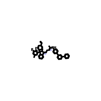 C=CC1=CC[C@@](C)(C2(c3cc(C)cc(F)c3F)c3ccccc3/C(=C/C/C=C(\C)Nc3ccc(-c4cccc(-c5ccccc5)c4)cc3)C2C)C=C1